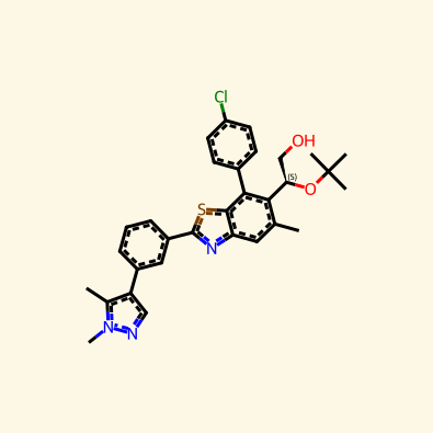 Cc1cc2nc(-c3cccc(-c4cnn(C)c4C)c3)sc2c(-c2ccc(Cl)cc2)c1[C@@H](CO)OC(C)(C)C